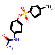 Cc1ccc(S(=O)(=O)Oc2ccc(NC(N)=O)cc2)cc1